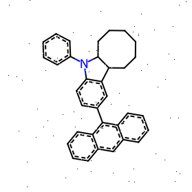 c1ccc(N2c3ccc(-c4c5ccccc5cc5ccccc45)cc3C3CCCCCCC32)cc1